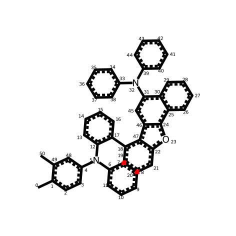 Cc1ccc(N(c2ccccc2)c2ccccc2-c2cccc3oc4c5ccccc5c(N(c5ccccc5)c5ccccc5)cc4c23)cc1C